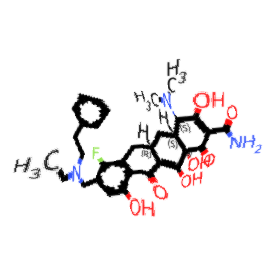 CCN(CCc1ccccc1)Cc1cc(O)c2c(c1F)C[C@H]1C[C@H]3[C@H](N(C)C)C(O)=C(C(N)=O)C(=O)[C@@]3(O)C(O)=C1C2=O